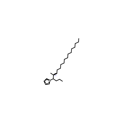 CCCCCCCCCCCCC/C=C(\C)C(CCC)n1cccc1